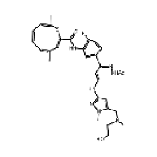 CC(=O)N/N=C(\C=C\Nc1cc(CN(C)CCO)n(C)n1)c1ccc(F)c(NC(=O)c2cc(C)ccccc(C)s2)c1